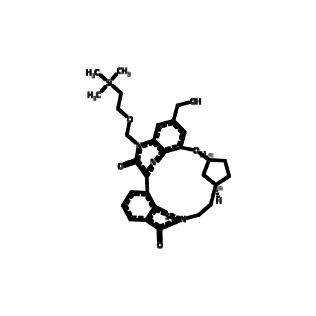 C[Si](C)(C)CCOCn1c(=O)c2nc3c(cc(CO)cc31)O[C@H]1CC[C@@H](CCn3sc4c-2cccc4c3=O)C1